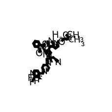 C[Si](C)(C)CCOCn1ccc2c(-c3cn(C4(CC#N)CN(C5CCN(Cc6ccnc(C(F)(F)F)c6F)CC5)C4)nc3N3C(=O)c4ccccc4C3=O)ncnc21